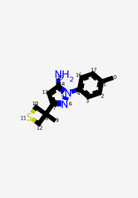 Cc1ccc(-n2nc(C3(C)CSC3)cc2N)cc1